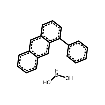 OBO.c1ccc(-c2cccc3cc4ccccc4cc23)cc1